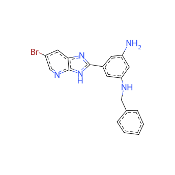 Nc1cc(NCc2ccccc2)cc(-c2nc3cc(Br)cnc3[nH]2)c1